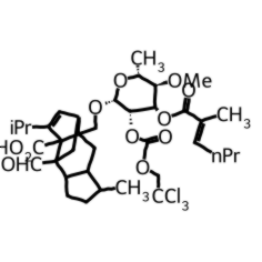 CCC/C=C(\C)C(=O)O[C@H]1[C@H](OC(=O)OCC(Cl)(Cl)Cl)[C@H](OCC23CC4C(C)CCC4C4(C=O)CC2C=C(C(C)C)C43C(=O)O)O[C@H](C)[C@H]1OC